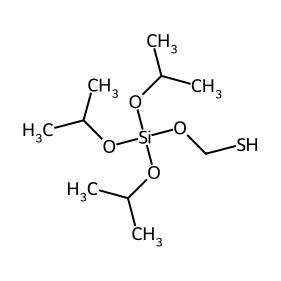 CC(C)O[Si](OCS)(OC(C)C)OC(C)C